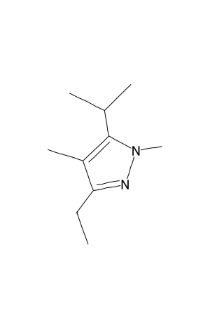 CCc1nn(C)c(C(C)C)c1C